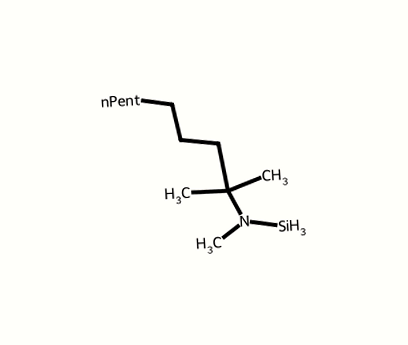 CCCCCCCCC(C)(C)N(C)[SiH3]